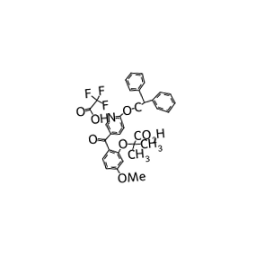 COc1ccc(C(=O)c2ccc(OCC(c3ccccc3)c3ccccc3)nc2)c(OC(C)(C)C(=O)O)c1.O=C(O)C(F)(F)F